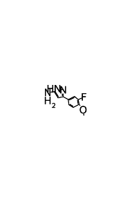 COc1ccc(-c2cc(N)[nH]n2)cc1F